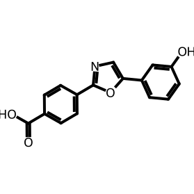 O=C(O)c1ccc(-c2ncc(-c3cccc(O)c3)o2)cc1